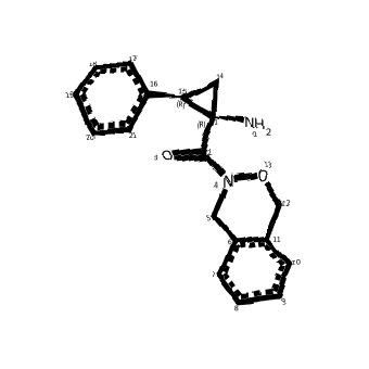 N[C@]1(C(=O)N2Cc3ccccc3CO2)C[C@@H]1c1ccccc1